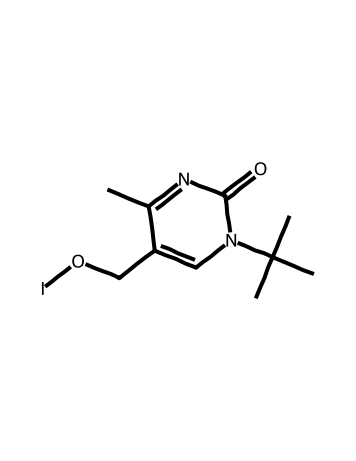 Cc1nc(=O)n(C(C)(C)C)cc1COI